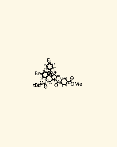 COC(=O)C1CCC(C(=O)N2CCC3(S(=O)(=O)c4ccc(F)cc4)c4ccc(Br)cc4N(C(=O)OC(C)(C)C)CC23)CC1